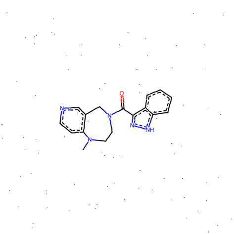 CN1CCN(C(=O)c2n[nH]c3ccccc23)Cc2cnccc21